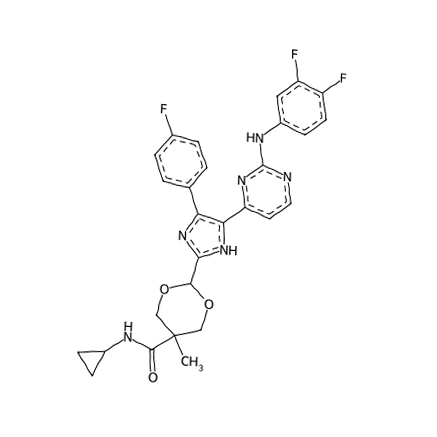 CC1(C(=O)NC2CC2)COC(c2nc(-c3ccc(F)cc3)c(-c3ccnc(Nc4ccc(F)c(F)c4)n3)[nH]2)OC1